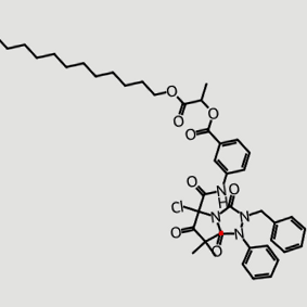 CCCCCCCCCCCCOC(=O)C(C)OC(=O)c1cccc(NC(=O)C(Cl)(C(=O)C(C)(C)C)n2c(=O)n(Cc3ccccc3)n(-c3ccccc3)c2=O)c1